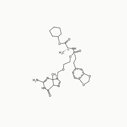 C[C@@H](NP(=O)(CCc1ccc2c(c1)OCO2)OCCOCN1C=NC2C(=O)NC(N)=NC21C)C(=O)OC1CCCCC1